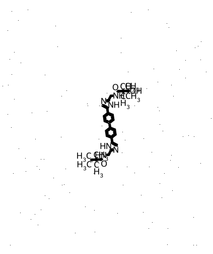 CC(C)C(C)(C)C(=O)NCc1ncc(-c2ccc(-c3ccc(-c4cnc(CNC(=O)C(C)(C)C(C)(C)O)[nH]4)cc3)cc2)[nH]1